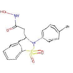 CC(C)c1ccc(N2C(CC(=O)NO)c3ccccc3S2(=O)=O)cc1